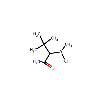 CB(C)C(C(N)=O)C(C)(C)C